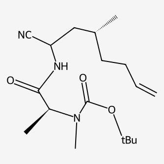 C=CCC[C@@H](C)CC(C#N)NC(=O)[C@H](C)N(C)C(=O)OC(C)(C)C